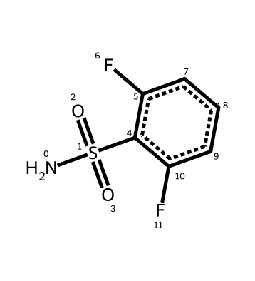 NS(=O)(=O)c1c(F)c[c]cc1F